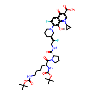 COc1c(N2CCCC(=C(F)CNC(=O)[C@@H]3CCCN3C(=O)[C@H](CCCCNC(=O)OC(C)(C)C)NC(=O)OC(C)(C)C)C2)c(F)cc2c(=O)c(C(=O)O)cn(C3CC3)c12